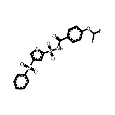 O=C(NS(=O)(=O)c1cc(S(=O)(=O)c2ccccc2)cs1)c1ccc(OC(F)F)cc1